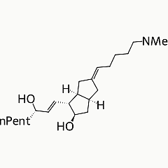 CCCCC[C@H](O)/C=C/[C@@H]1[C@H]2C/C(=C/CCCCNC)C[C@H]2C[C@H]1O